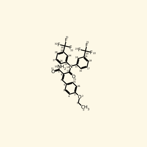 CCOc1ccc(C=C(C(N)=O)C(=O)N(c2cccc(C(F)(F)F)c2)c2cccc(C(F)(F)F)c2)cc1